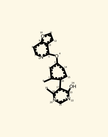 Cc1cc(Oc2nccc3occc23)ccc1-c1c(C)ncnc1O